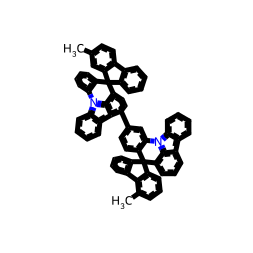 Cc1ccc2c(c1)C1(c3ccccc3-2)c2ccccc2-n2c3ccccc3c3c(-c4ccc5c(c4)-n4c6ccccc6c6cccc(c64)C54c5ccccc5-c5c(C)cccc54)ccc1c32